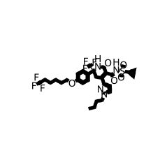 CCCCn1ccc(C2=C(C(=O)NS(=O)(=O)C3CC3)C(=O)N[C@@](c3ccc(OCCCCCC(F)(F)F)cc3)(C(F)(F)F)C2)n1